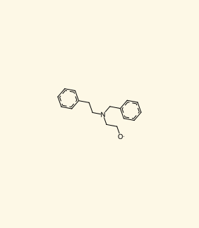 [O]CCN(CCc1ccccc1)Cc1ccccc1